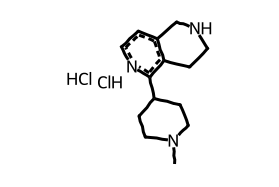 CN1CCC(c2nccc3c2CCNC3)CC1.Cl.Cl